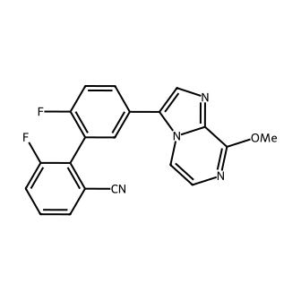 COc1nccn2c(-c3ccc(F)c(-c4c(F)cccc4C#N)c3)cnc12